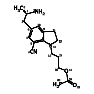 C[C@@H](N)Cc1cc(C#N)c2c(c1)CCN2CCCOC(=O)P